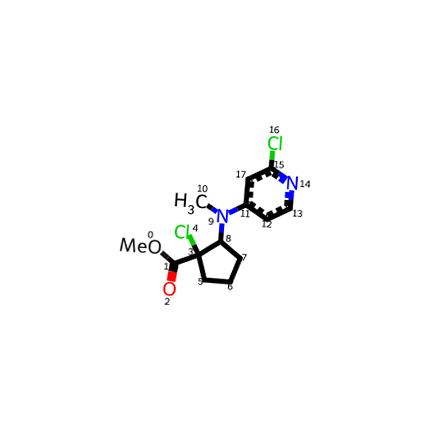 COC(=O)C1(Cl)CCCC1N(C)c1ccnc(Cl)c1